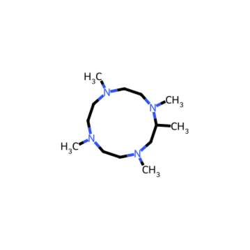 CC1CN(C)CCN(C)CCN(C)CCN1C